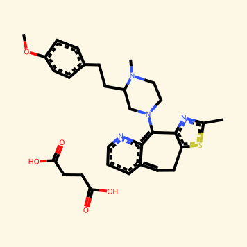 COc1ccc(CCC2CN(C3=c4ncccc4=CCc4sc(C)nc43)CCN2C)cc1.O=C(O)CCC(=O)O